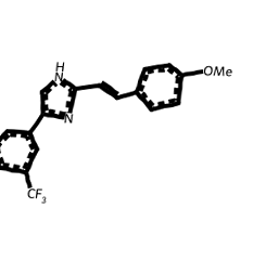 COc1ccc(C=Cc2nc(-c3cccc(C(F)(F)F)c3)c[nH]2)cc1